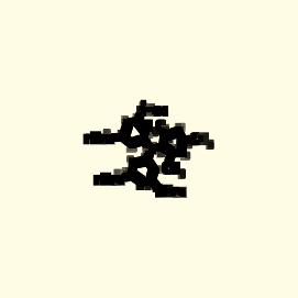 CCCCCCc1cc(CCCCCC)cc(N(c2cc(CCCCCC)cc(CCCCCC)c2)c2c(C)cc(C)cc2C)c1